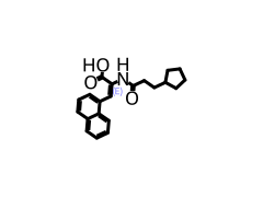 O=C(CCC1CCCC1)N/C(=C/c1cccc2ccccc12)C(=O)O